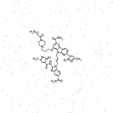 CCn1nc(C)cc1C(=O)Nc1nc2cc(C(N)=O)cnc2n1C/C=C/Cn1c2nc(-c3cc(C)nn3CC)ncc2c2cc(C(N)=O)cc(OCCCN3CCN(C(=O)CON)CC3)c21